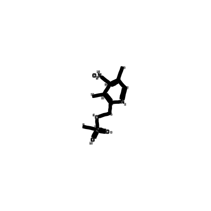 Cc1cnc(COS(C)(=O)=O)c(C)c1[N+](=O)[O-]